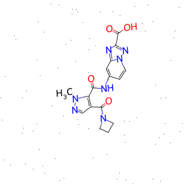 Cn1ncc(C(=O)N2CCC2)c1C(=O)Nc1ccn2nc(C(=O)O)nc2c1